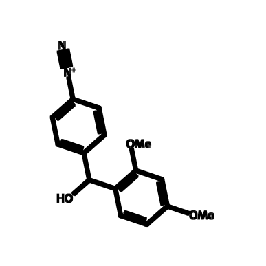 COc1ccc(C(O)c2ccc([N+]#N)cc2)c(OC)c1